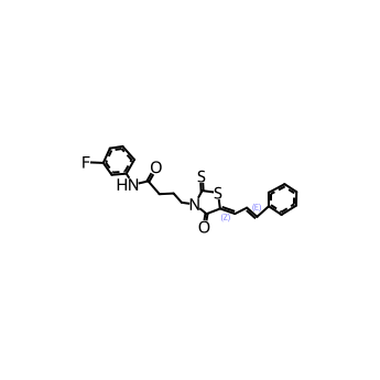 O=C(CCCN1C(=O)/C(=C/C=C/c2ccccc2)SC1=S)Nc1cccc(F)c1